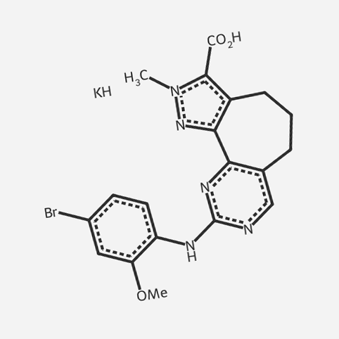 COc1cc(Br)ccc1Nc1ncc2c(n1)-c1nn(C)c(C(=O)O)c1CCC2.[KH]